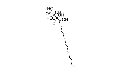 CCCCCCCCCCCCCCC(O)C(O)(O)C(O)(O)C(=O)O